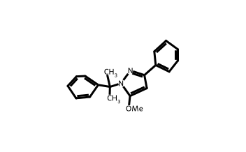 COc1cc(-c2ccccc2)nn1C(C)(C)c1ccccc1